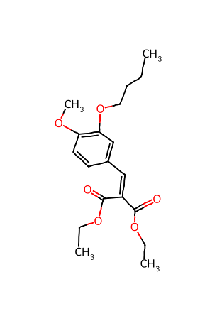 CCCCOc1cc(C=C(C(=O)OCC)C(=O)OCC)ccc1OC